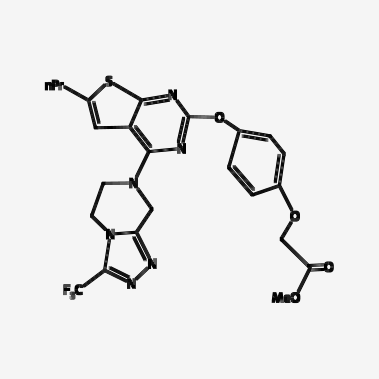 CCCc1cc2c(N3CCn4c(nnc4C(F)(F)F)C3)nc(Oc3ccc(OCC(=O)OC)cc3)nc2s1